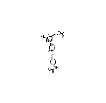 CC(=O)NC1CCC(CCN2CCN(c3cc(CCOC(F)F)nc(C(C)(C)C)n3)CC2C)CC1